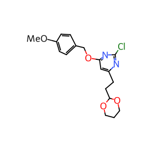 COc1ccc(COc2cc(CCC3OCCCO3)nc(Cl)n2)cc1